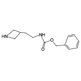 O=C(NCCC1CNC1)OCc1ccccc1